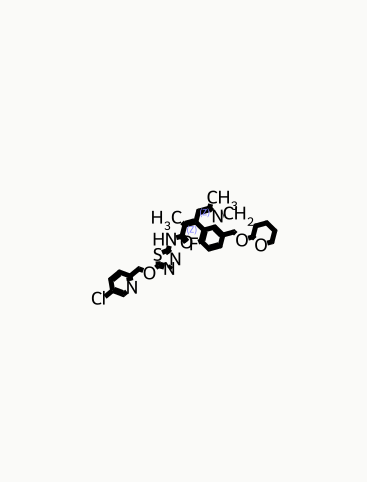 C=N/C(C)=C\C(=C(/C)C(=O)Nc1nnc(OCc2ccc(Cl)cn2)s1)c1cc(COC2CCCCO2)ccc1F